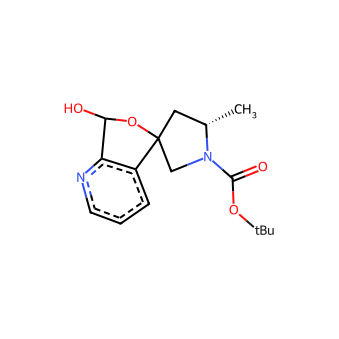 C[C@H]1CC2(CN1C(=O)OC(C)(C)C)OC(O)c1ncccc12